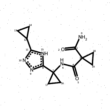 NC(=O)C1(C(=O)NC2(c3nnc(C4CC4)[nH]3)CC2)CC1